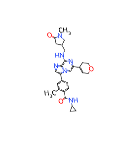 Cc1cc(-c2cnc3c(NCC4CC(=O)N(C)C4)nc(C4=CCOCC4)cn23)ccc1C(=O)NC1CC1